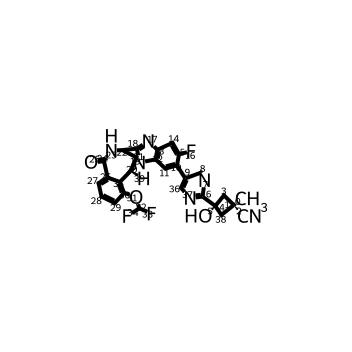 C[C@]1(C#N)C[C@](O)(c2ncc(-c3cc4c(cc3F)nc3n4[C@H]4CC3NC(=O)c3cccc(OC(F)F)c34)cn2)C1